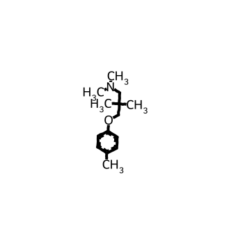 Cc1ccc(OCC(C)(C)CN(C)C)cc1